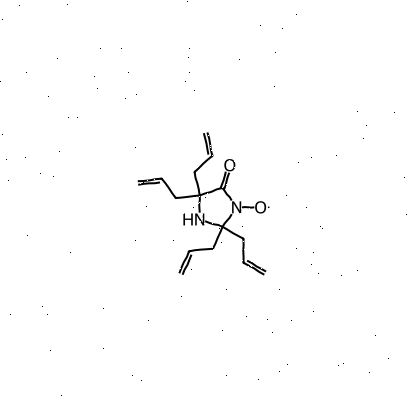 C=CCC1(CC=C)NC(CC=C)(CC=C)N([O])C1=O